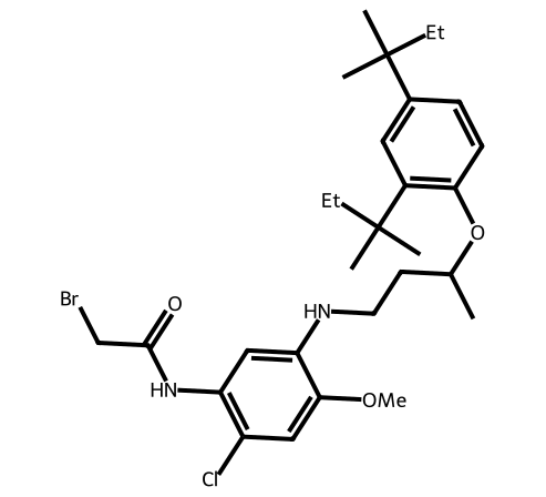 CCC(C)(C)c1ccc(OC(C)CCNc2cc(NC(=O)CBr)c(Cl)cc2OC)c(C(C)(C)CC)c1